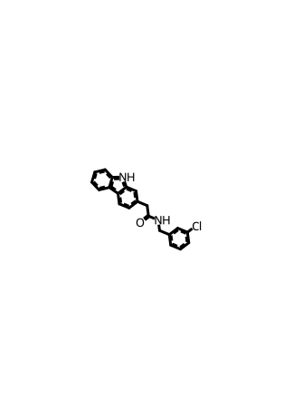 O=C(Cc1ccc2c(c1)[nH]c1ccccc12)NCc1cccc(Cl)c1